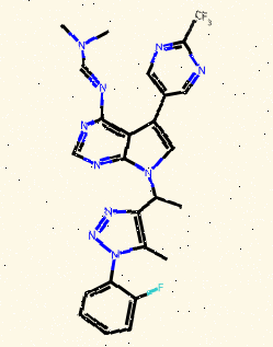 Cc1c(C(C)n2cc(-c3cnc(C(F)(F)F)nc3)c3c(N=CN(C)C)ncnc32)nnn1-c1ccccc1F